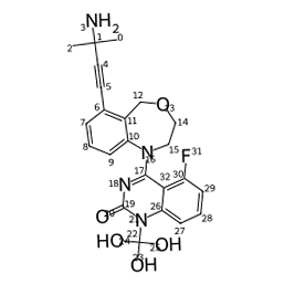 CC(C)(N)C#Cc1cccc2c1COCCN2c1nc(=O)n(C(O)(O)O)c2cccc(F)c12